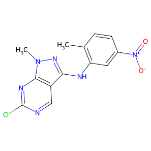 Cc1ccc([N+](=O)[O-])cc1Nc1nn(C)c2nc(Cl)ncc12